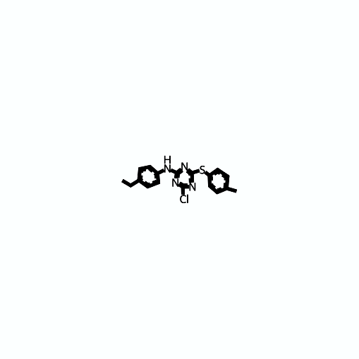 CCc1ccc(Nc2nc(Cl)nc(Sc3ccc(C)cc3)n2)cc1